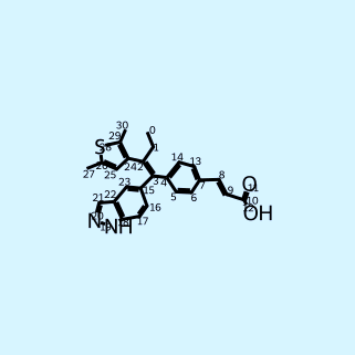 CCC(=C(c1ccc(C=CC(=O)O)cc1)c1ccc2[nH]ncc2c1)c1cc(C)sc1C